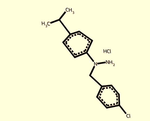 CC(C)c1ccc(N(N)Cc2ccc(Cl)cc2)cc1.Cl